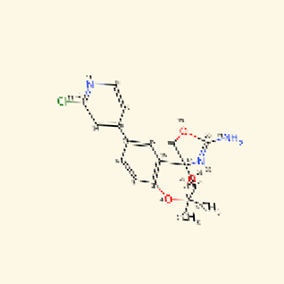 CC1(C)Oc2ccc(-c3ccnc(Cl)c3)cc2C2(COC(N)=N2)C12COC2